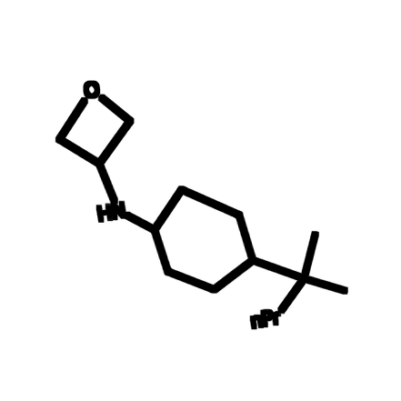 CCCC(C)(C)C1CCC(NC2COC2)CC1